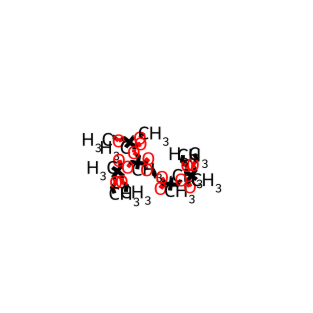 CCOCC(C)(COC)C(=O)OCC(C)(COC(=O)C(C)(COCC)COCC)C(=O)OCCOC(=O)C(C)(CC)COC(=O)C(C)(COCC)COCC